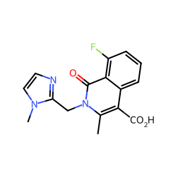 Cc1c(C(=O)O)c2cccc(F)c2c(=O)n1Cc1nccn1C